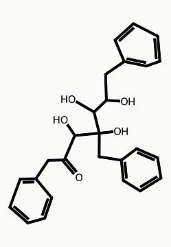 O=C(Cc1ccccc1)C(O)C(O)(Cc1ccccc1)C(O)C(O)Cc1ccccc1